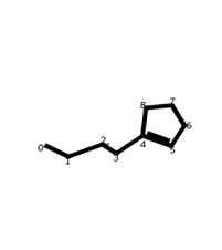 CC[CH]CC1=CCCC1